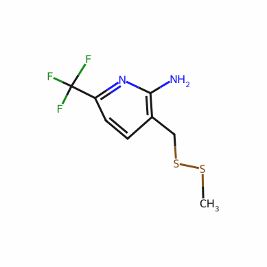 CSSCc1ccc(C(F)(F)F)nc1N